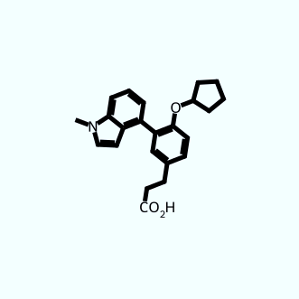 Cn1ccc2c(-c3cc(CCC(=O)O)ccc3OC3CCCC3)cccc21